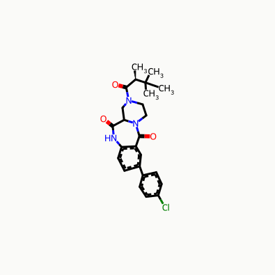 C[C@H](C(=O)N1CCN2C(=O)c3cc(-c4ccc(Cl)cc4)ccc3NC(=O)C2C1)C(C)(C)C